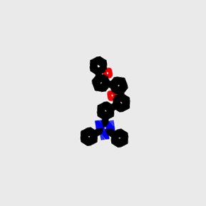 C1=CC2Oc3c(-c4cccc5c4oc4c(-c6cccc(-c7nc(-c8ccccc8)nc(-c8ccccc8)n7)c6)cccc45)cccc3C2C=C1